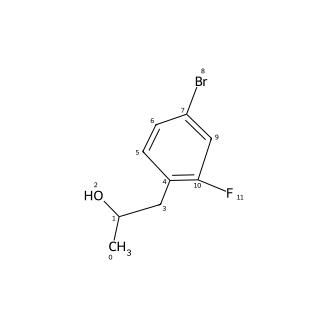 CC(O)Cc1ccc(Br)cc1F